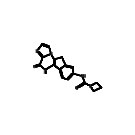 O=C(Nc1ccc2c(c1)Cc1c-2[nH]c(=O)c2nccn12)N1CCC1